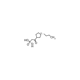 CCCC[C@H]1CCC(C(=O)CP(=O)(O)O)C1